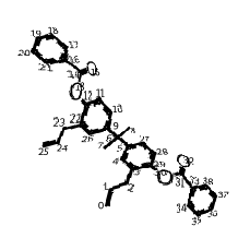 C=CCc1cc(C(C)(C)c2ccc(OC(=O)c3ccccc3)c(CC=C)c2)ccc1OC(=O)c1ccccc1